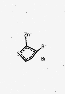 [Br-].[Zn+][c]1sccc1Br